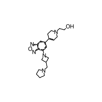 OCCN1CC=C(c2cc(N3CC(CN4CCCC4)C3)c3nonc3c2)CC1